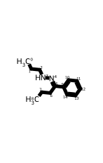 CCCN/N=C(\CCC)c1ccccc1